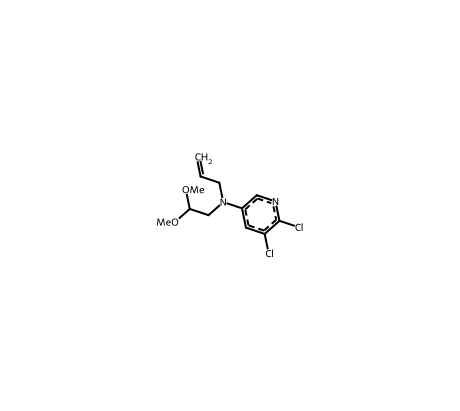 C=CCN(CC(OC)OC)c1cnc(Cl)c(Cl)c1